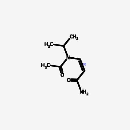 CC(=O)N(/C=C\C(N)=O)C(C)C